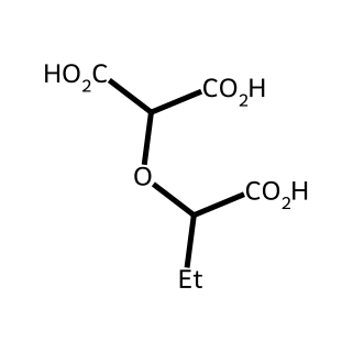 CCC(OC(C(=O)O)C(=O)O)C(=O)O